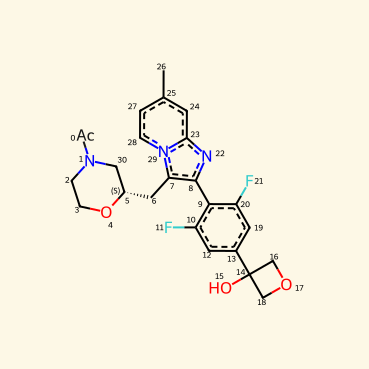 CC(=O)N1CCO[C@@H](Cc2c(-c3c(F)cc(C4(O)COC4)cc3F)nc3cc(C)ccn23)C1